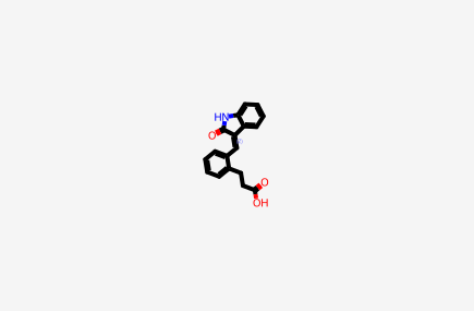 O=C(O)CCc1ccccc1/C=C1\C(=O)Nc2ccccc21